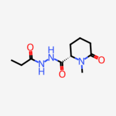 CCC(=O)NNC(=O)[C@@H]1CCCC(=O)N1C